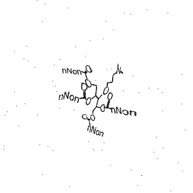 CCCCCCCCCC(=O)OCC(OC(=O)CCCCCCCCC)C(OCCCN(C)C)C(COC(=O)CCCCCCCCC)OC(=O)CCCCCCCCC